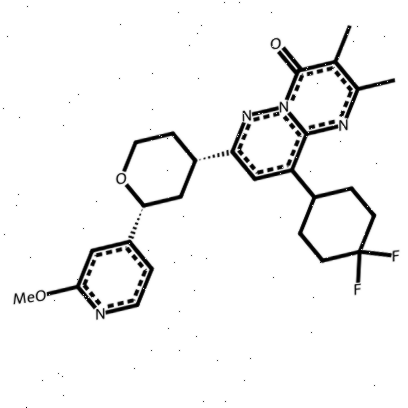 COc1cc([C@H]2C[C@@H](c3cc(C4CCC(F)(F)CC4)c4nc(C)c(C)c(=O)n4n3)CCO2)ccn1